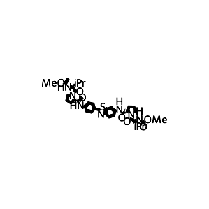 C=C(N[C@H](C(=O)N1CCC[C@H]1C(=O)Nc1ccc(-c2nc3ccc(NC(=O)[C@@H]4CCCN4C(=O)[C@@H](NC(=O)OC)C(C)C)cc3s2)cc1)C(C)C)OC